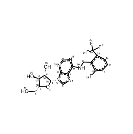 OC[C@H]1O[C@@H](n2cnc3c(NCc4c(F)cccc4C(F)(F)F)ncnc32)[C@@H](O)[C@@H]1O